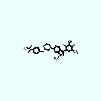 Cn1nc(-c2cc(C(F)(F)F)c(F)c(O)c2F)c2cnc(N3CCO[C@@H](Cc4ccc(S(N)(=O)=O)cc4)C3)nc21